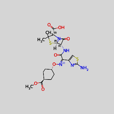 COC(=O)[C@H]1CC[C@H](O/N=C(\C(=O)N[C@H]2C(=O)N3[C@@H]2SC(C)(C)[C@@H]3C(=O)O)c2csc(N)n2)CC1